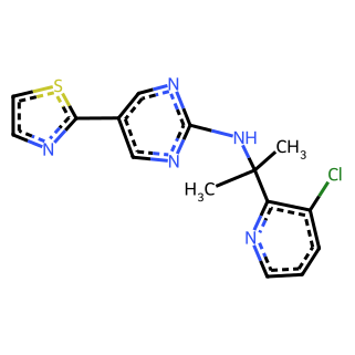 CC(C)(Nc1ncc(-c2nccs2)cn1)c1ncccc1Cl